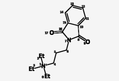 CC[N+](CC)(CC)CCCN1C(=O)c2ccccc2C1=O